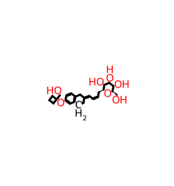 C=C/C(=C\C=C/C[C@@H]1O[C@H](CO)[C@@H](O)C(O)[C@H]1O)Cc1ccc(OC2(CO)CCC2)cc1